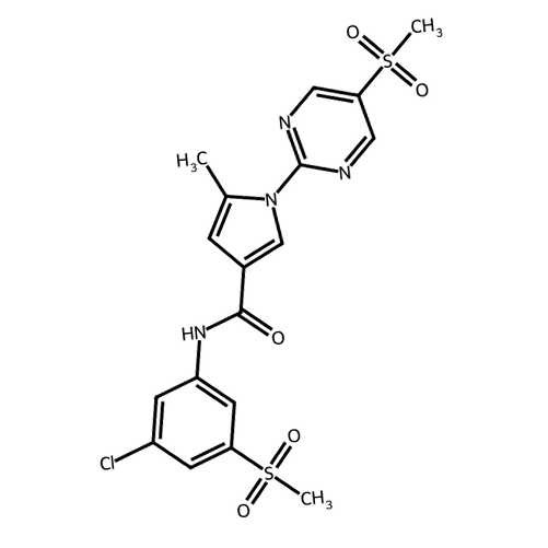 Cc1cc(C(=O)Nc2cc(Cl)cc(S(C)(=O)=O)c2)cn1-c1ncc(S(C)(=O)=O)cn1